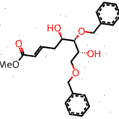 COC(=O)/C=C/C[C@@H](O)[C@@H](OCc1ccccc1)[C@H](O)COCc1ccccc1